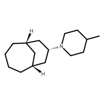 CC1CCN([C@@H]2C[C@@H]3CCCC[C@@H](C3)C2)CC1